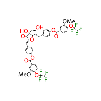 COc1cc(C(=O)Oc2ccc(/C=C/C(=O)C(O)(CCO)C(=O)/C=C/c3ccc(OC(=O)c4ccc(OC(F)(F)C(F)F)c(OC)c4)cc3)cc2)ccc1OC(F)(F)C(F)F